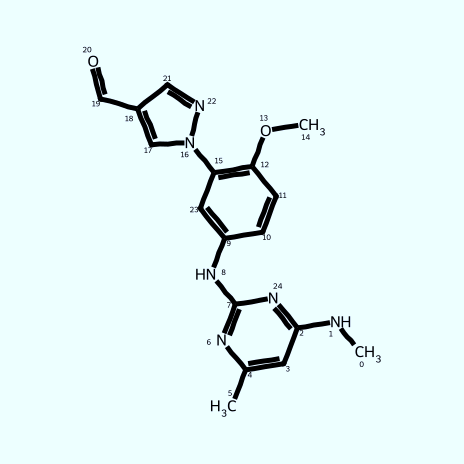 CNc1cc(C)nc(Nc2ccc(OC)c(-n3cc(C=O)cn3)c2)n1